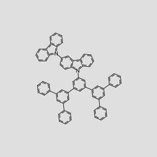 c1ccc(-c2cc(-c3ccccc3)cc(-c3cc(-c4cc(-c5ccccc5)cc(-c5ccccc5)c4)cc(-n4c5ccccc5c5cc(-n6c7ccccc7c7ccccc76)ccc54)c3)c2)cc1